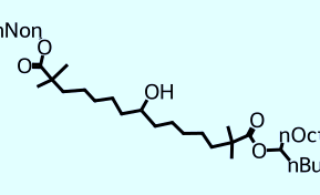 CCCCCCCCCOC(=O)C(C)(C)CCCCCC(O)CCCCCC(C)(C)C(=O)OC(CCCC)CCCCCCCC